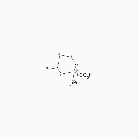 CC1CCCC(C(=O)O)(C(C)C)C1